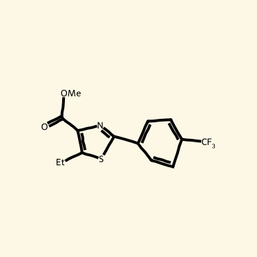 CCc1sc(-c2ccc(C(F)(F)F)cc2)nc1C(=O)OC